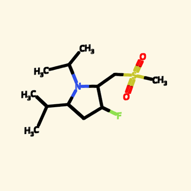 CC(C)C1CC(F)C(CS(C)(=O)=O)N1C(C)C